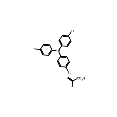 C=C(C)C(=O)O.CCc1cc[c]([Sn]([c]2ccc(CC)cc2)[c]2ccc(CC)cc2)cc1